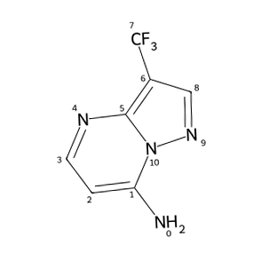 Nc1ccnc2c(C(F)(F)F)cnn12